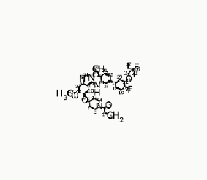 C=CC(=O)N1CCC(Oc2cc3c(Nc4cc(-c5ccc(F)c(OCC(F)(F)F)c5)ccc4OC)ncnc3cc2OC)CC1